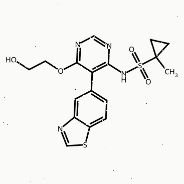 CC1(S(=O)(=O)Nc2ncnc(OCCO)c2-c2ccc3scnc3c2)CC1